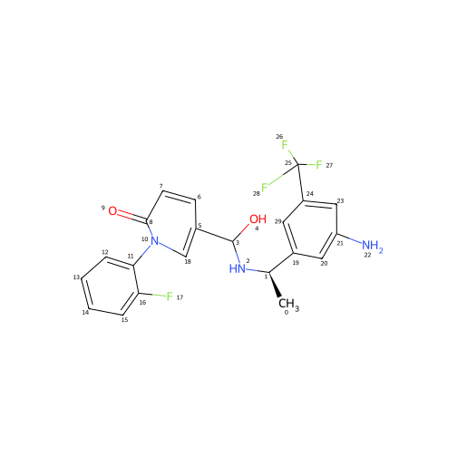 C[C@@H](NC(O)c1ccc(=O)n(-c2ccccc2F)c1)c1cc(N)cc(C(F)(F)F)c1